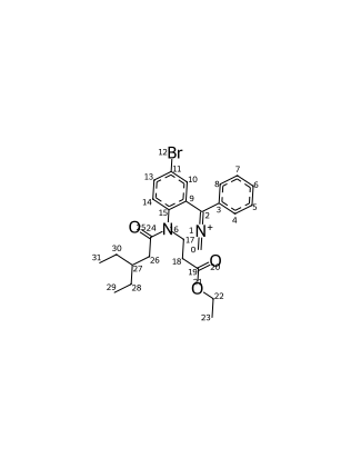 C=[N+]=C(c1ccccc1)c1cc(Br)ccc1N(CCC(=O)OCC)C(=O)CC(CC)CC